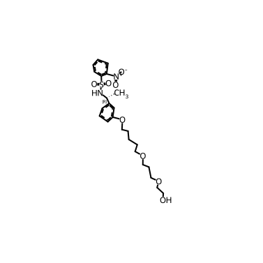 C[C@@H](NS(=O)(=O)c1ccccc1[N+](=O)[O-])c1cccc(OCCCCCOCCCOCCO)c1